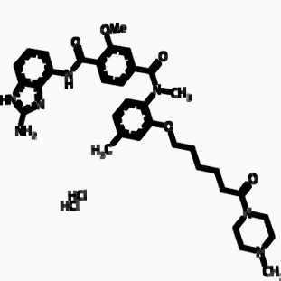 COc1cc(C(=O)N(C)c2ccc(C)cc2OCCCCCC(=O)N2CCN(C)CC2)ccc1C(=O)Nc1cccc2[nH]c(N)nc12.Cl.Cl